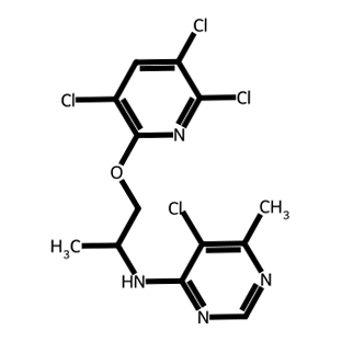 Cc1ncnc(NC(C)COc2nc(Cl)c(Cl)cc2Cl)c1Cl